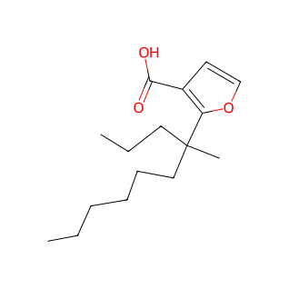 CCCCCCC(C)(CCC)c1occc1C(=O)O